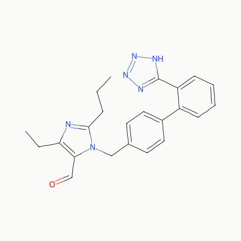 CCCc1nc(CC)c(C=O)n1Cc1ccc(-c2ccccc2-c2nnn[nH]2)cc1